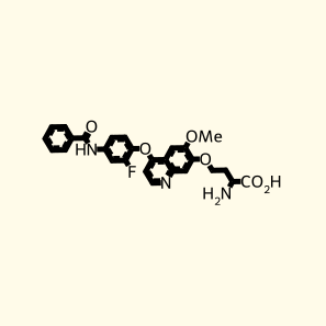 COc1cc2c(Oc3ccc(NC(=O)c4ccccc4)cc3F)ccnc2cc1OCCC(N)C(=O)O